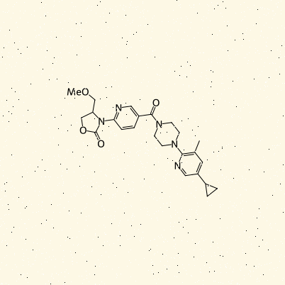 COCC1COC(=O)N1c1ccc(C(=O)N2CCN(c3ncc(C4CC4)cc3C)CC2)cn1